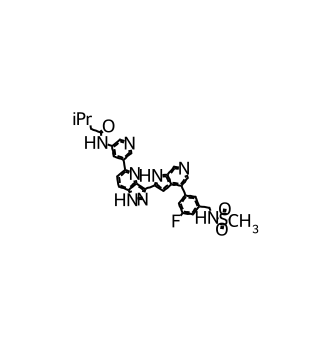 CC(C)CC(=O)Nc1cncc(-c2ccc3[nH]nc(-c4cc5c(-c6cc(F)cc(CNS(C)(=O)=O)c6)cncc5[nH]4)c3n2)c1